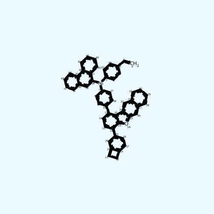 C=Cc1ccc(N(c2ccc(-c3ccc(-c4ccc5c(c4)CC5)c4oc5cc6ccccc6cc5c34)cc2)c2cc3ccccc3c3ccccc23)cc1